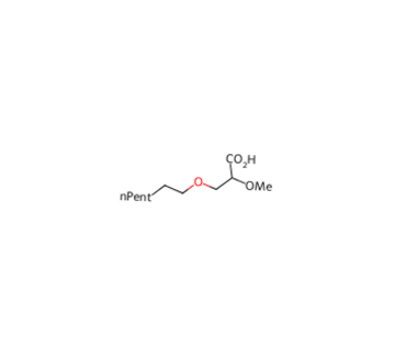 CCCCCCCOCC(OC)C(=O)O